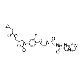 O=C(CC1CC1)OC[C@H]1CN(c2ccc(N3CCN(C(=O)CNC(=O)c4cn5ccncc5n4)CC3)c(F)c2)C(=O)O1